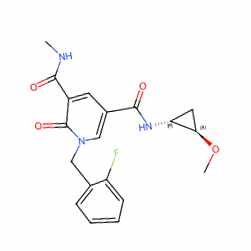 CNC(=O)c1cc(C(=O)N[C@@H]2C[C@H]2OC)cn(Cc2ccccc2F)c1=O